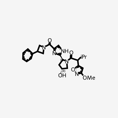 COc1cc(C(C(=O)N2C[C@H](O)C[C@H]2c2nc(C(=O)N3CC(c4ccccc4)C3)c[nH]2)C(C)C)on1